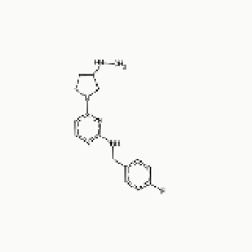 CNC1CCN(c2ccnc(NCc3ccc(F)cc3)n2)C1